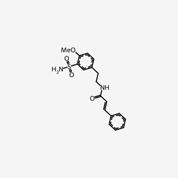 COc1ccc(CCNC(=O)C=Cc2ccccc2)cc1S(N)(=O)=O